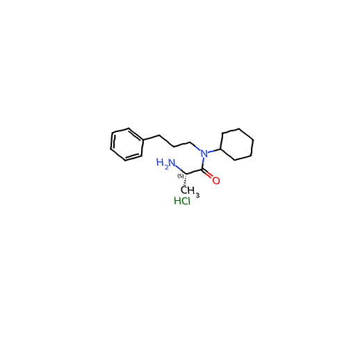 C[C@H](N)C(=O)N(CCCc1ccccc1)C1CCCCC1.Cl